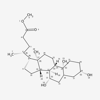 COC(=O)CC[C@@H](C)[C@H]1CC[C@H]2[C@@H]3[C@@H](O)CC4C[C@@H](O)CC[C@]4(C)[C@H]3CC[C@]12C